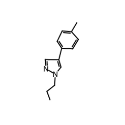 CCCn1cc(-c2ccc(C)cc2)cn1